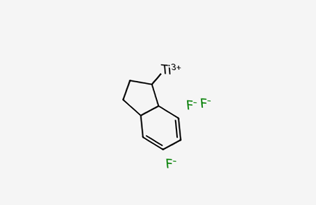 [F-].[F-].[F-].[Ti+3][CH]1CCC2C=CC=CC12